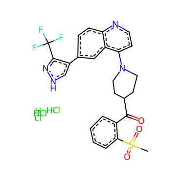 CS(=O)(=O)c1ccccc1C(=O)C1CCN(c2ccnc3ccc(-c4c[nH]nc4C(F)(F)F)cc23)CC1.Cl.Cl.Cl